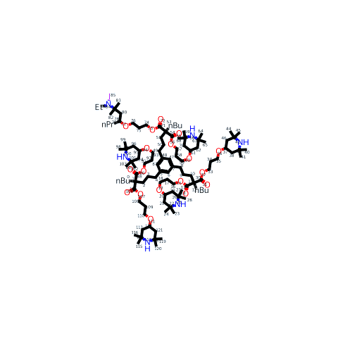 CCCCC(CCCc1cc(CCCC(CCCC)(C(=O)OCCCOC2CC(C)(C)NC(C)(C)C2)C(=O)OCCCOC2CC(C)(C)NC(C)(C)C2)cc(CCCC(CCCC)(C(=O)OCCCOC2CC(C)(C)NC(C)(C)C2)C(=O)OCCCOC(CCC)CC(C)(C)N(I)CC)c1)(C(=O)OCCCOC1CC(C)(C)NC(C)(C)C1)C(=O)OCCCOC1CC(C)(C)NC(C)(C)C1